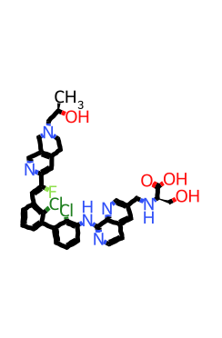 C[C@@H](O)CN1CCc2cc(/C(F)=C/c3cccc(-c4cccc(Nc5nccc6cc(CN[C@H](CO)C(=O)O)cnc56)c4Cl)c3Cl)ncc2C1